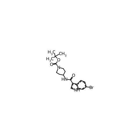 CC(C)(C)OC(=O)N1CCC(NC(=O)c2c[nH]c3cc(Br)ccc23)CC1